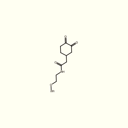 CCCOCCNC(=O)CC1CCC(=O)C(=O)C1